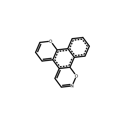 C1=COc2c(c3c(c4ccccc24)ON=CC=3)=C1